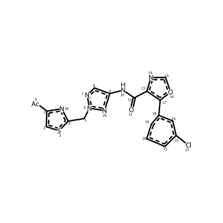 CC(=O)c1csc(Cn2ncc(NC(=O)c3ncoc3-c3cccc(Cl)c3)n2)n1